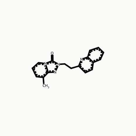 Cc1cccn2c(=O)n(CCc3ccc4ccccc4n3)nc12